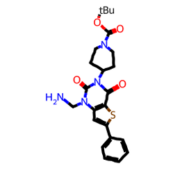 CC(C)(C)OC(=O)N1CCC(n2c(=O)c3sc(-c4ccccc4)cc3n(CN)c2=O)CC1